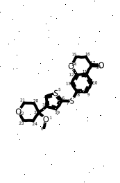 COC1(c2csc(Sc3ccc4c(c3)OCCC4=O)c2)CCOCC1